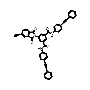 C#Cc1ccc2c(c1)C(=O)N(c1cc(C(=O)Nc3ccc(C#Cc4ccccc4)cc3)cc(C(=O)Nc3ccc(C#Cc4ccccc4)cc3)c1)C2=O